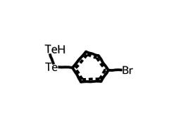 Brc1ccc([Te][TeH])cc1